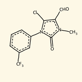 Cn1c(C=O)c(Cl)n(-c2cccc(C(F)(F)F)c2)c1=O